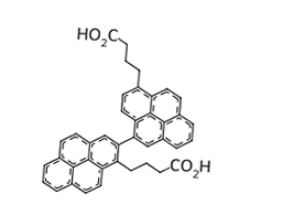 O=C(O)CCCc1c(-c2cc3cccc4ccc5c(CCCC(=O)O)ccc2c5c43)cc2ccc3cccc4ccc1c2c34